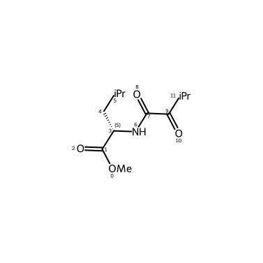 COC(=O)[C@H](CC(C)C)NC(=O)C(=O)C(C)C